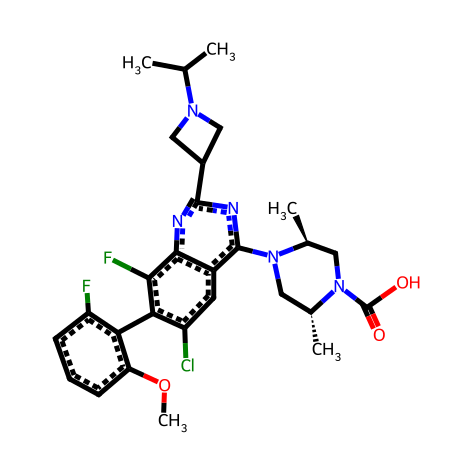 COc1cccc(F)c1-c1c(Cl)cc2c(N3C[C@@H](C)N(C(=O)O)C[C@@H]3C)nc(C3CN(C(C)C)C3)nc2c1F